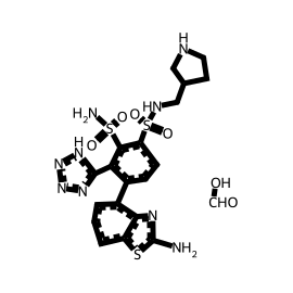 Nc1nc2c(-c3ccc(S(=O)(=O)NCC4CCNC4)c(S(N)(=O)=O)c3-c3nnn[nH]3)cccc2s1.O=CO